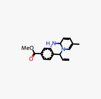 C=CC(c1ccc(C(=O)OC)cc1)N1C=C(C)C=CC1N